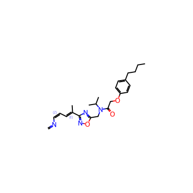 C=N/C=C\C=C(/C)c1noc(CN(C(=O)COc2ccc(CCCC)cc2)C(C)C)n1